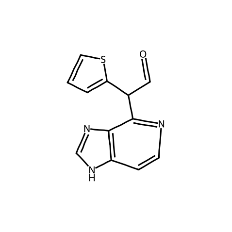 O=CC(c1cccs1)c1nccc2[nH]cnc12